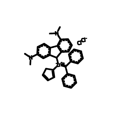 CN(C)c1ccc2c(c1)[CH]([Zr+2]([C]1=CC=CC1)=[C](c1ccccc1)c1ccccc1)c1cccc(N(C)C)c1-2.[Cl-].[Cl-]